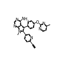 C#Cc1ccc(-c2c(-c3ccc(Oc4nccc(C)n4)cc3)c3c(N)ncnc3n2C)cn1